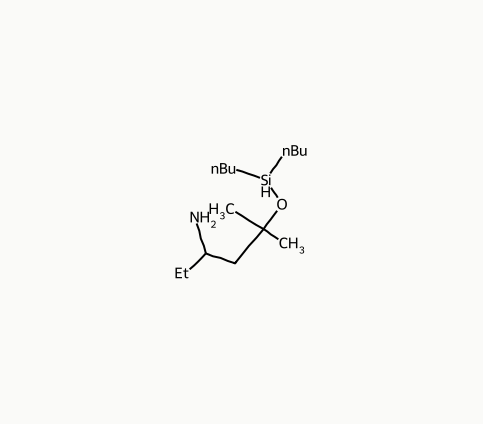 CCCC[SiH](CCCC)OC(C)(C)CC(N)CC